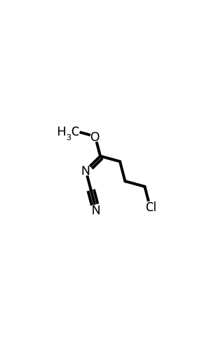 COC(CCCCl)=NC#N